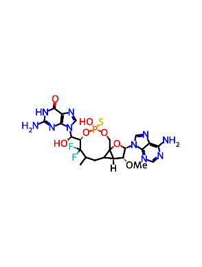 CO[C@H]1[C@H](n2cnc3c(N)ncnc32)OC23COP(O)(=S)O[C@@H]([C@@H](O)n4cnc5c(=O)[nH]c(N)nc54)C(F)(F)C(C)CC2[C@@H]13